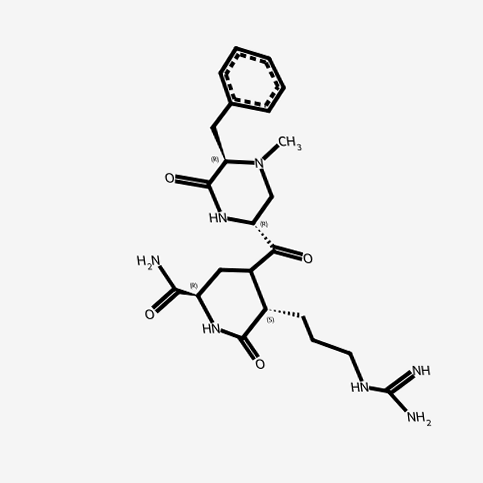 CN1C[C@H](C(=O)C2C[C@H](C(N)=O)NC(=O)[C@H]2CCCNC(=N)N)NC(=O)[C@H]1Cc1ccccc1